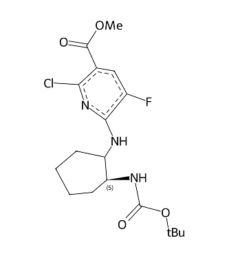 COC(=O)c1cc(F)c(NC2CCCC[C@@H]2NC(=O)OC(C)(C)C)nc1Cl